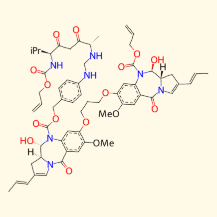 C=CCOC(=O)N[C@H](C(=O)CC(=O)[C@H](C)NCNc1ccc(COC(=O)N2c3cc(OCCCOc4cc5c(cc4OC)C(=O)N4C=C(/C=C/C)C[C@H]4[C@H](O)N5C(=O)OCC=C)c(OC)cc3C(=O)N3C=C(/C=C/C)C[C@H]3[C@@H]2O)cc1)C(C)C